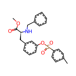 COC(=O)[C@H](Cc1cccc(OS(=O)(=O)c2ccc(C)cc2)c1)NCc1ccccc1